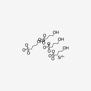 O=S(=O)([O-])CCCO.O=S(=O)([O-])CCCO.O=S(=O)([O-])CCCO.O=S(=O)([O-])CCCO.[Si+4]